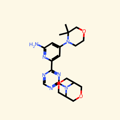 CC1(C)COCCN1c1cc(N)nc(-c2ncnc(N3C4COCC3COC4)n2)c1